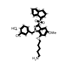 COc1cc(OCCCCCN)c2c(c1)c(S(=O)(=O)c1cccc3ccccc13)nn2Cc1cccc(Cl)c1.Cl